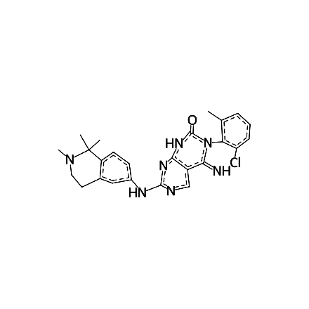 Cc1cccc(Cl)c1-n1c(=O)[nH]c2nc(Nc3ccc4c(c3)CCN(C)C4(C)C)ncc2c1=N